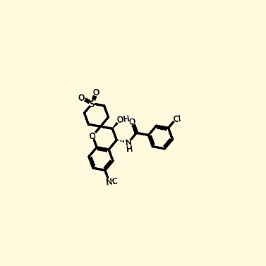 [C-]#[N+]c1ccc2c(c1)[C@@H](NC(=O)c1cccc(Cl)c1)[C@H](O)C1(CCS(=O)(=O)CC1)O2